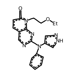 CCOCCn1c(=O)ccc2cnc(N(c3ccccc3)c3cn[nH]c3)nc21